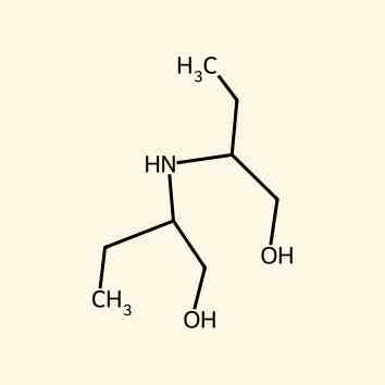 CCC(CO)NC(CC)CO